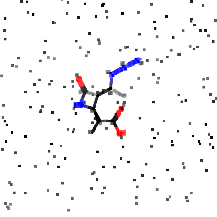 CC(C(=O)O)[C@H]1NC(=O)[C@@H]1[C@@H](C)N=[N+]=[N-]